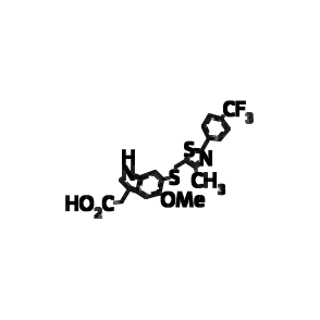 COc1cc2c(CC(=O)O)c[nH]c2cc1SCc1sc(-c2ccc(C(F)(F)F)cc2)nc1C